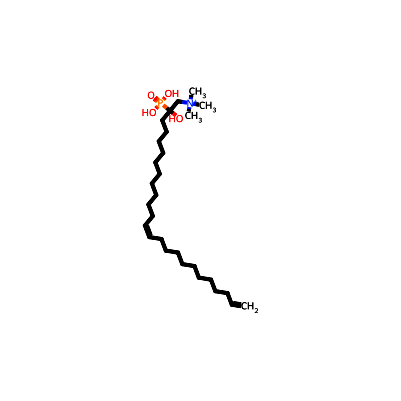 C=CCCCCCCCCC/C=C\CCCCCCCCCCC(O)(C[N+](C)(C)C)P(=O)(O)O